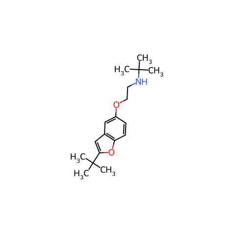 CC(C)(C)NCCOc1ccc2oc(C(C)(C)C)cc2c1